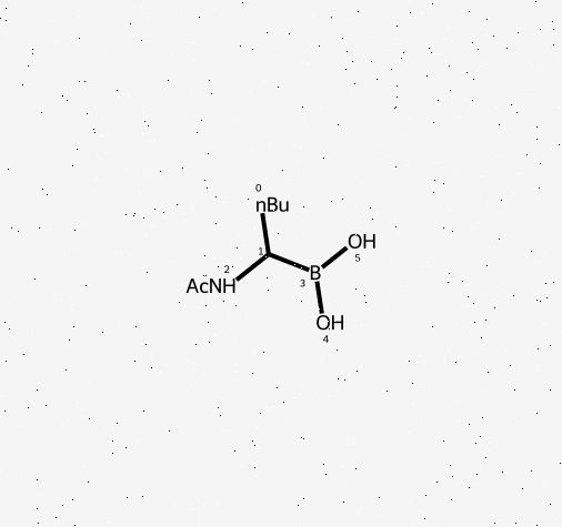 CCCCC(NC(C)=O)B(O)O